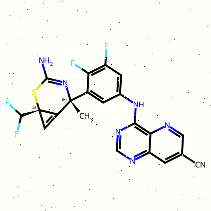 C[C@]1(c2cc(Nc3ncnc4cc(C#N)cnc34)cc(F)c2F)N=C(N)S[C@@]2(C(F)F)C=C12